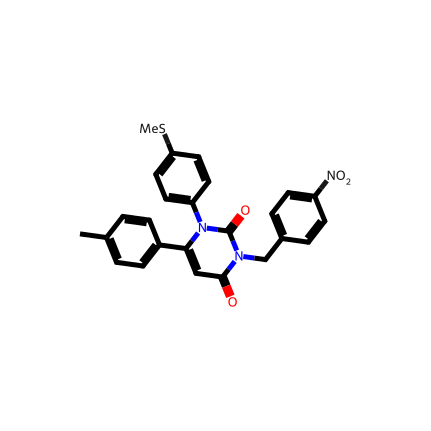 CSc1ccc(-n2c(-c3ccc(C)cc3)cc(=O)n(Cc3ccc([N+](=O)[O-])cc3)c2=O)cc1